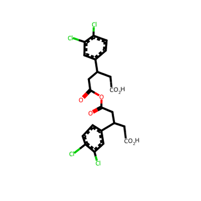 O=C(O)CC(CC(=O)OC(=O)CC(CC(=O)O)c1ccc(Cl)c(Cl)c1)c1ccc(Cl)c(Cl)c1